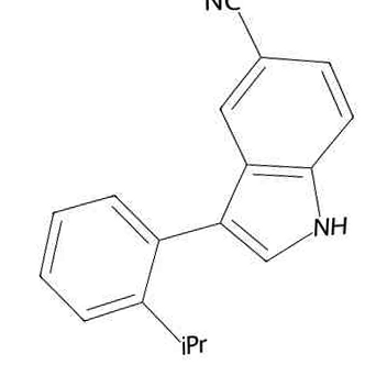 CC(C)c1ccccc1-c1c[nH]c2ccc(C#N)cc12